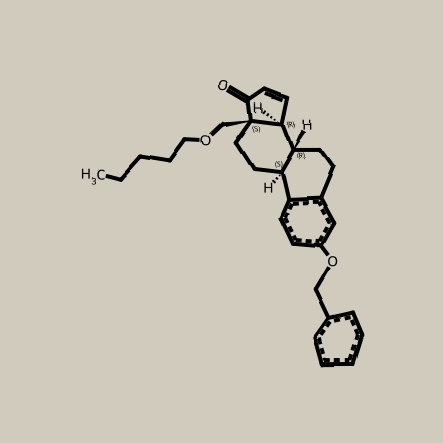 CCCCCOC[C@]12CC[C@@H]3c4ccc(OCc5ccccc5)cc4CC[C@H]3[C@@H]1C=CC2=O